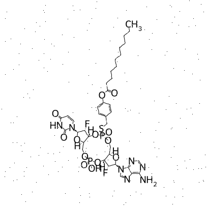 CCCCCCCCCCCC(=O)Oc1ccc(CSP2(=O)OC[C@H]3O[C@@H](n4cnc5c(N)ncnc54)[C@H](F)[C@@H]3OP(=O)(O)OC[C@H]3O[C@@H](n4ccc(=O)[nH]c4=O)[C@H](F)[C@@H]3O2)cc1